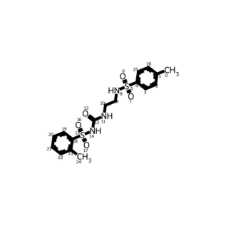 Cc1ccc(S(=O)(=O)NCCNC(=O)NS(=O)(=O)c2ccccc2C)cc1